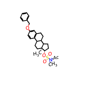 CC(=O)N(C)S(=O)(=O)O[C@H]1CCC2C3CCc4cc(OCc5ccccc5)ccc4C3CC[C@@]21C